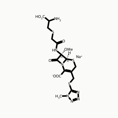 CO[C@@]1(NC(=O)CSCC(N)C(=O)O)C(=O)N2C(C(=O)[O-])=C(CSc3nnnn3C)CS[C@@H]21.[Na+]